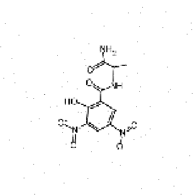 CC(NC(=O)c1cc([N+](=O)[O-])cc([N+](=O)[O-])c1O)C(N)=O